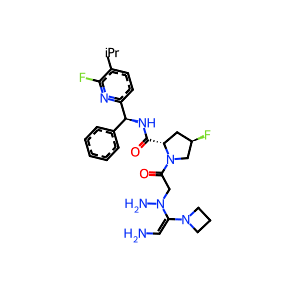 CC(C)c1ccc([C@@H](NC(=O)[C@@H]2C[C@@H](F)CN2C(=O)CN(N)/C(=C\N)N2CCC2)c2ccccc2)nc1F